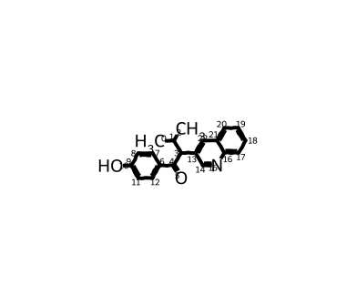 CC(C)C(C(=O)c1ccc(O)cc1)c1cnc2ccccc2c1